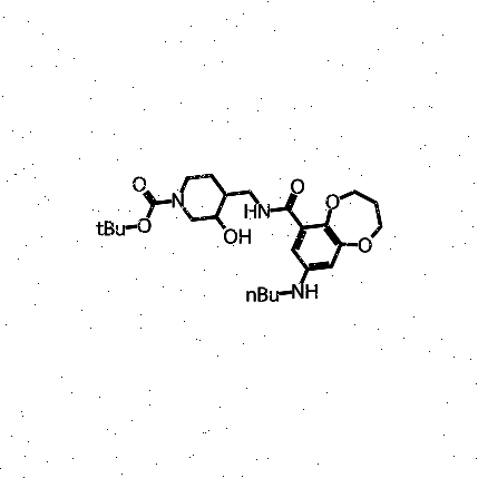 CCCCNc1cc2c(c(C(=O)NCC3CCN(C(=O)OC(C)(C)C)CC3O)c1)OCCCO2